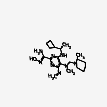 C=Nc1nc(/C(N)=N/O)nc(N[C@H](C)C2CCC2)c1N(C)CN1CCCCC1C